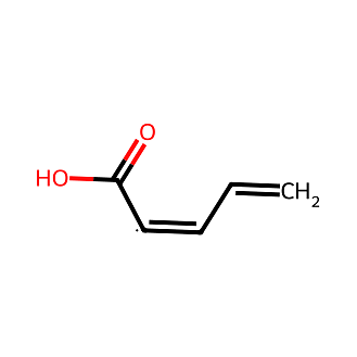 C=C/C=[C]\C(=O)O